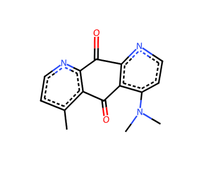 Cc1ccnc2c1C(=O)c1c(N(C)C)ccnc1C2=O